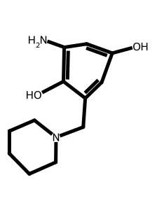 Nc1cc(O)cc(CN2CCCCC2)c1O